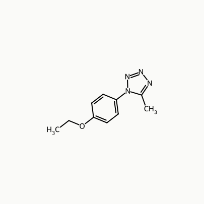 CCOc1ccc(-n2nnnc2C)cc1